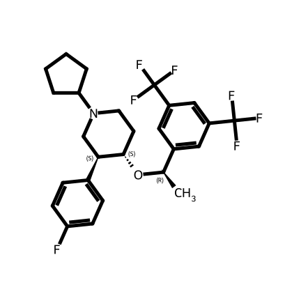 C[C@@H](O[C@H]1CCN(C2CCCC2)C[C@@H]1c1ccc(F)cc1)c1cc(C(F)(F)F)cc(C(F)(F)F)c1